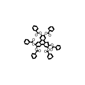 O=C(Oc1cc2c3cc(OC(=O)c4ccccc4)c(OC(=O)c4ccccc4)cc3c3cc(OC(=O)c4ccccc4)c(OC(=O)c4ccccc4)cc3c2cc1OC(=O)c1ccccc1)c1ccccc1